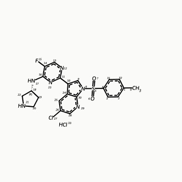 Cc1ccc(S(=O)(=O)n2cc(-c3ncc(F)c(N[C@@H]4CCNC4)n3)c3cc(Cl)cnc32)cc1.Cl